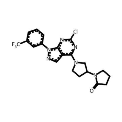 O=C1CCCN1C1CCN(c2nc(Cl)nc3c2cnn3-c2cccc(C(F)(F)F)c2)C1